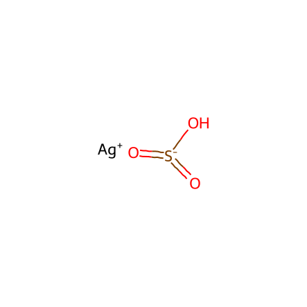 O=[S-](=O)O.[Ag+]